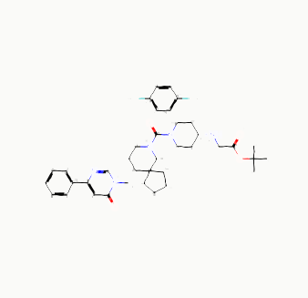 CC(C)(C)OC(=O)CN[C@@H]1CCN(C(=O)N2CC[C@@H](Cn3cnc(-c4ccccc4)cc3=O)C3(CCCC3)C2)[C@H](c2cc(F)ccc2F)C1